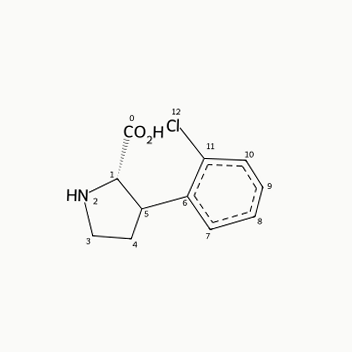 O=C(O)[C@H]1NCCC1c1ccccc1Cl